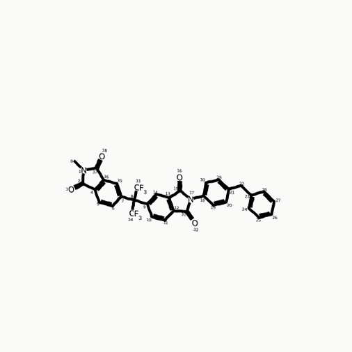 CN1C(=O)c2ccc(C(c3ccc4c(c3)C(=O)N(c3ccc(Cc5ccccc5)cc3)C4=O)(C(F)(F)F)C(F)(F)F)cc2C1=O